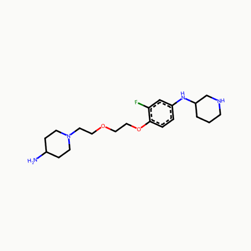 NC1CCN(CCOCCOc2ccc(NC3CCCNC3)cc2F)CC1